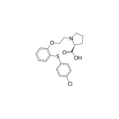 O=C(O)[C@@H]1CCCN1CCOc1ccccc1Sc1ccc(Cl)cc1